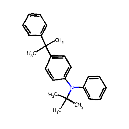 CC(C)(c1ccccc1)c1ccc(N(c2ccccc2)C(C)(C)C)cc1